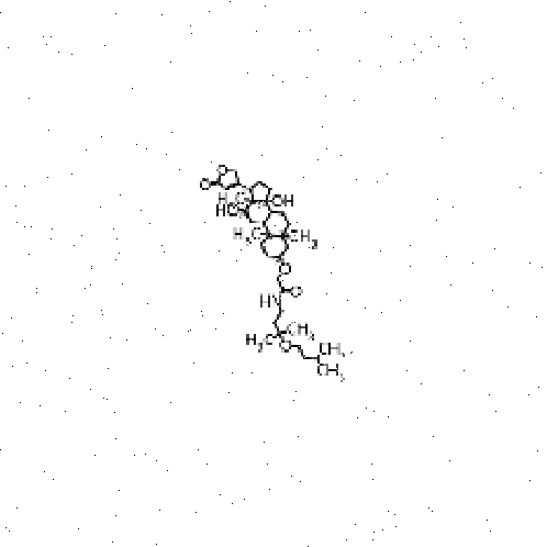 CC(C)CCOC(C)(C)CCNC(=O)CO[C@H]1CC[C@]2(C)C3C[C@@H](O)[C@]4(C)[C@@H](C5=CC(=O)OC5)CC[C@]4(O)C3CC[C@]2(C)C1